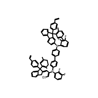 C=Cc1ccc(C2(C3=C(C)CCC(C)=C3)/C(=C/C(=C\CC)N(c3ccc(-c4ccc(N(c5ccc6c(c5)C(c5ccc(C=C)cc5)(c5cc(C)ccc5C)c5ccccc5-6)c5cccc(F)c5F)cc4)cc3)c3cccc(F)c3F)Cc3ccccc32)cc1